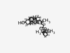 C[C@H](CCC(=O)OC1CC2CCC1(C)C2(C)C)[C@H]1CC[C@H]2[C@@H]3CC=C4C[C@@H](O)CC[C@]4(C)[C@H]3CC[C@]12C